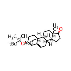 CC(=O)OC[C@]12CCC(O[Si](C)(C)C(C)(C)C)CC1=CC[C@@H]1[C@@H]2CC[C@]2(C)C(=O)CC[C@@H]12